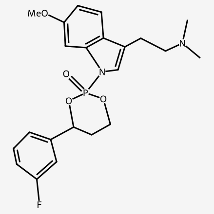 COc1ccc2c(CCN(C)C)cn(P3(=O)OCCC(c4cccc(F)c4)O3)c2c1